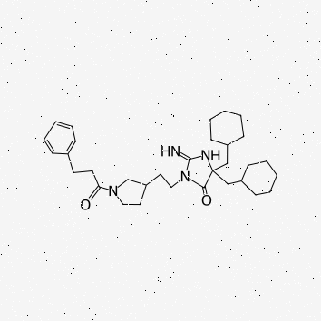 N=C1NC(CC2CCCCC2)(CC2CCCCC2)C(=O)N1CCC1CCN(C(=O)CCc2ccccc2)C1